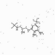 CC(C)(C)NCC(O)COc1cc(C(C)(C)C)cc(N)c1N